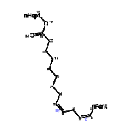 CCCCC/C=C\C/C=C\CCCCCCCC(=O)OCCCCCCC